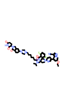 CCOc1cc(-c2ccc(N3CCC(CN(C(=O)CCCCCCN4CCN(c5ccc6c(c5)CN(C5CCC(=O)NC5=O)C6=O)CC4)C(C)C)(NC(=O)c4cc(F)ccc4F)CC3)nc2)c2c(C#N)cnn2c1